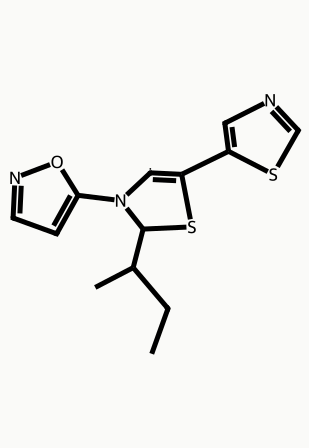 CCC(C)C1SC(c2cncs2)=[C]N1c1ccno1